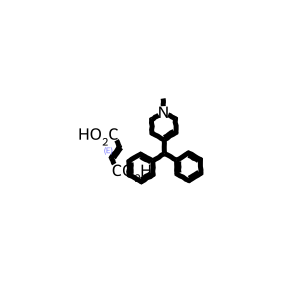 CN1CC=C(C(c2ccccc2)c2ccccc2)CC1.O=C(O)/C=C/C(=O)O